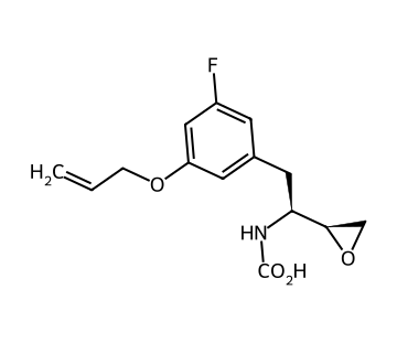 C=CCOc1cc(F)cc(C[C@H](NC(=O)O)[C@H]2CO2)c1